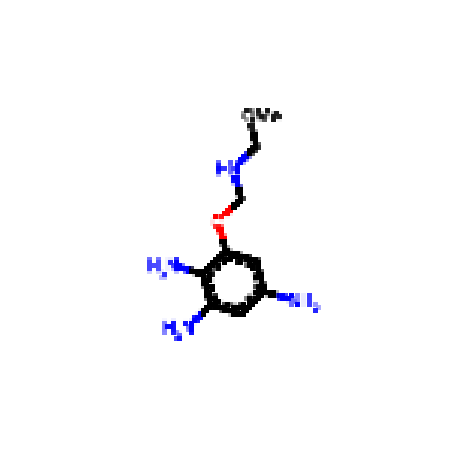 COCNCOc1cc(N)cc(N)c1N